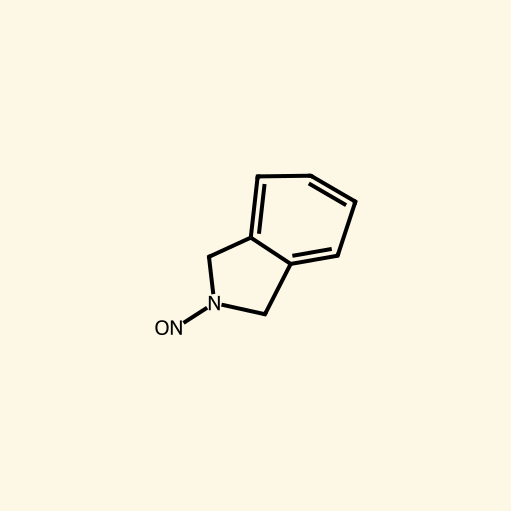 O=NN1Cc2ccccc2C1